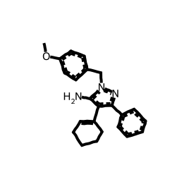 COc1ccc(Cn2nc(-c3ccccc3)c(C3=CCCCC3)c2N)cc1